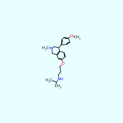 COc1ccc(C2CN(C)Cc3cc(OCCCNC(C)C)ccc32)cc1